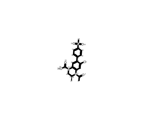 CC(=O)N1c2cc(Cl)c(-c3ccc(S(C)(=O)=O)cc3)cc2N(C(=O)O)C[C@@H]1C